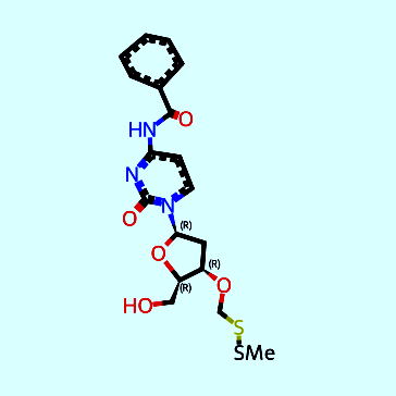 CSSCO[C@@H]1C[C@H](n2ccc(NC(=O)c3ccccc3)nc2=O)O[C@@H]1CO